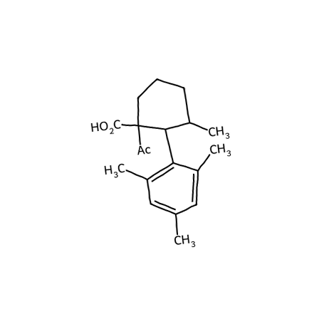 CC(=O)C1(C(=O)O)CCCC(C)C1c1c(C)cc(C)cc1C